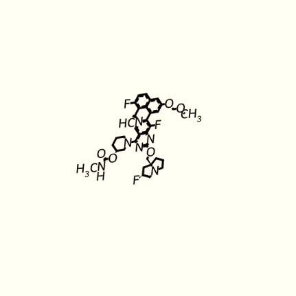 C#Cc1c(F)ccc2cc(OCOC)cc(-c3ncc4c(N5CCC[C@@H](OC(=O)NC)C5)nc(OC[C@@]56CCCN5C[C@H](F)C6)nc4c3F)c12